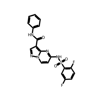 O=C(Nc1ccccc1)c1cnn2ccc(NS(=O)(=O)c3cc(F)ccc3F)nc12